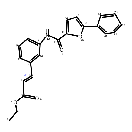 CCOC(=O)/C=C/c1cccc(NC(=O)c2ccc(-c3ccccc3)o2)c1